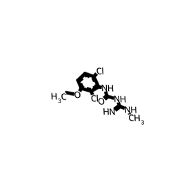 CCOc1ccc(Cl)c(NC(=O)NC(=N)NC)c1Cl